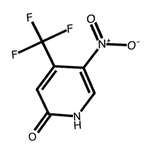 O=c1cc(C(F)(F)F)c([N+](=O)[O-])c[nH]1